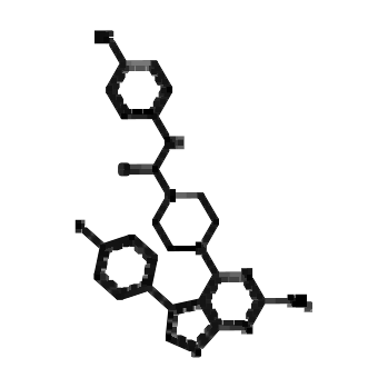 N#Cc1ccc(NC(=O)N2CCN(c3nc(N)nc4scc(-c5ccc(F)cc5)c34)CC2)cc1